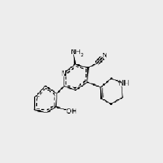 N#Cc1c(C2=CCCNC2)cc(-c2ccccc2O)nc1N